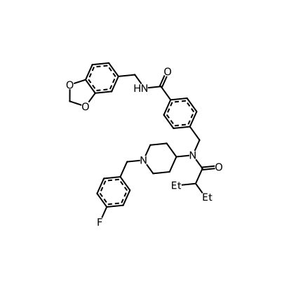 CCC(CC)C(=O)N(Cc1ccc(C(=O)NCc2ccc3c(c2)OCO3)cc1)C1CCN(Cc2ccc(F)cc2)CC1